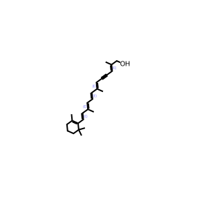 CC1=C(/C=C/C(C)=C/C=C/C(C)=C/C#C/C=C(\C)CO)C(C)(C)CCC1